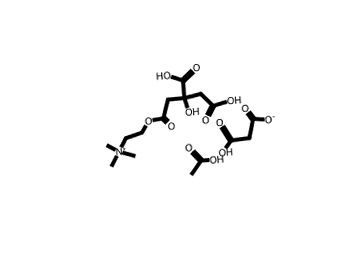 CC(=O)O.C[N+](C)(C)CCOC(=O)CC(O)(CC(=O)O)C(=O)O.O=C([O-])CC(=O)O